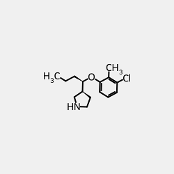 CCC[C@@H](Oc1cccc(Cl)c1C)[C@H]1CCNC1